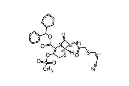 CS(=O)(=O)OC1=C(C(=O)OC(c2ccccc2)c2ccccc2)N2C(=O)[C@@H](NC(=O)CS/C=C\C#N)[C@@H]2SC1